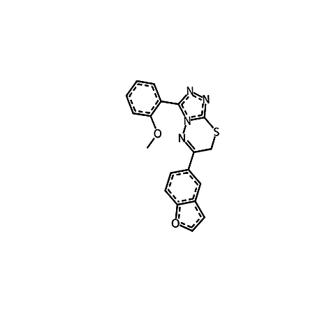 COc1ccccc1-c1nnc2n1N=C(c1ccc3occc3c1)CS2